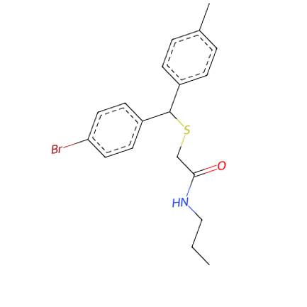 CCCNC(=O)CSC(c1ccc(C)cc1)c1ccc(Br)cc1